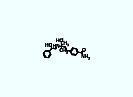 CC(C)(CCc1ccc(C(N)=O)cc1)NC[C@H](O)c1ccccc1.Cl